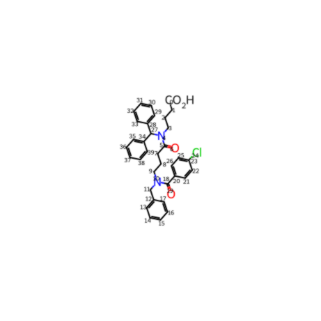 O=C(O)CCCN(C(=O)CCCN(Cc1ccccc1)C(=O)c1ccc(Cl)cc1)C(c1ccccc1)c1ccccc1